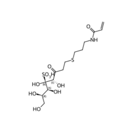 C=CC(=O)NCCCSCCC(=O)[C@H](O)[C@@](O)([C@@H](O)[C@H](O)CO)S(=O)(=O)O